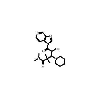 CN(C)C(=O)C(C)(C)C(=C(C#N)C(=O)n1cnc2cnccc21)N1CCCCC1